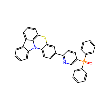 O=P(c1ccccc1)(c1ccccc1)c1ccc(-c2ccc3c(c2)Sc2cccc4c5ccccc5n-3c24)nc1